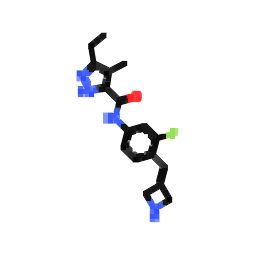 CCc1n[nH]c(C(=O)Nc2ccc(C=C3CNC3)c(F)c2)c1C